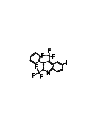 FC(F)(F)c1nc2ccc(I)cc2c(C(F)(F)F)c1-c1ccccc1